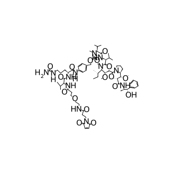 CC[C@H](C)C([C@@H](CC(=O)N1CCC[C@H]1[C@H](OC)[C@@H](C)C(=O)N[C@H](C)[C@@H](O)c1ccccc1)OC)N(C)C(=O)[C@@H](NC(=O)[C@H](C(C)C)N(C)C(=O)OCc1ccc(NC(=O)[C@H](CCCNC(N)=O)NC(=O)[C@@H](NC(=O)CCOCCNC(=O)CCN2C(=O)C=CC2=O)C(C)C)cc1)C(C)C